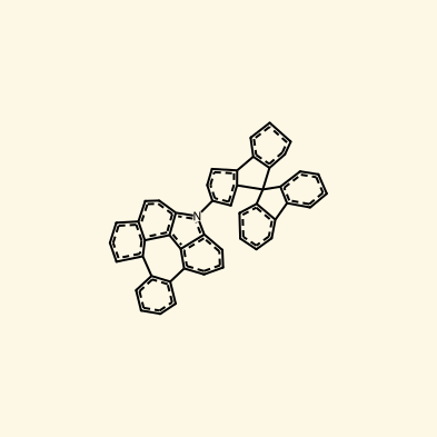 c1ccc2c(c1)-c1cccc3ccc4c(c13)c1c-2cccc1n4-c1ccc2c(c1)C1(c3ccccc3-c3ccccc31)c1ccccc1-2